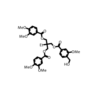 CCC(COC(=O)c1ccc(CO)c(OC)c1)(COC(=O)c1ccc(OC)c(OC)c1)COC(=O)c1ccc(OC)c(OC)c1